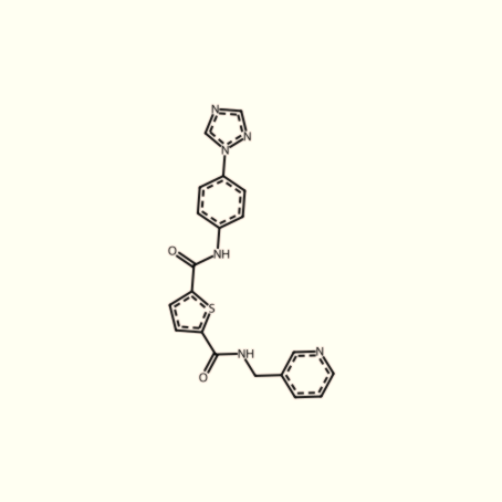 O=C(NCc1cccnc1)c1ccc(C(=O)Nc2ccc(-n3cncn3)cc2)s1